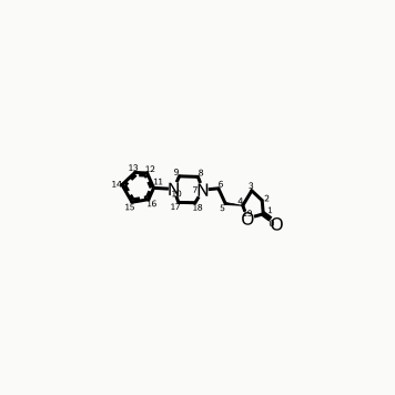 O=C1CC[C@H](CCN2CCN(c3ccccc3)CC2)O1